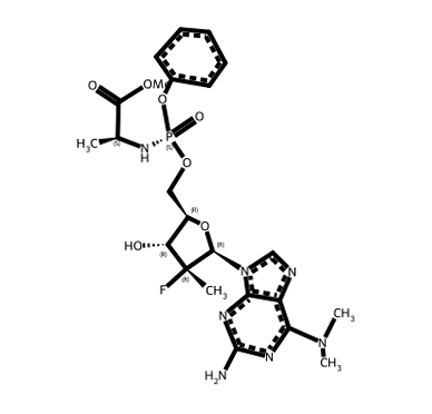 COC(=O)[C@H](C)N[P@](=O)(OC[C@H]1O[C@@H](n2cnc3c(N(C)C)nc(N)nc32)[C@](C)(F)[C@@H]1O)Oc1ccccc1